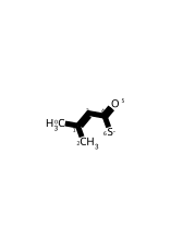 CC(C)=CC(=O)[S]